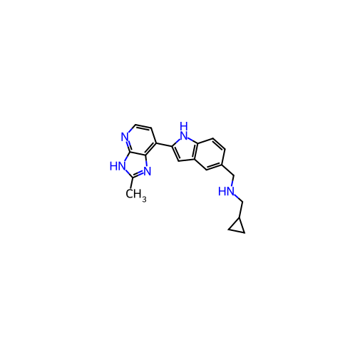 Cc1nc2c(-c3cc4cc(CNCC5CC5)ccc4[nH]3)ccnc2[nH]1